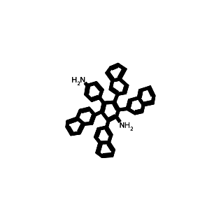 Nc1ccc(-c2c(-c3ccc4ccccc4c3)c(-c3ccc4ccccc4c3)c(N)c(-c3ccc4ccccc4c3)c2-c2ccc3ccccc3c2)cc1